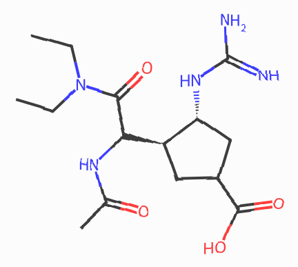 CCN(CC)C(=O)C(NC(C)=O)[C@@H]1CC(C(=O)O)C[C@H]1NC(=N)N